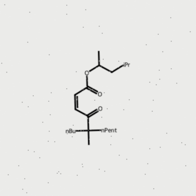 CCCCCC(C)(CCCC)C(=O)/C=C\C(=O)OC(C)CC(C)C